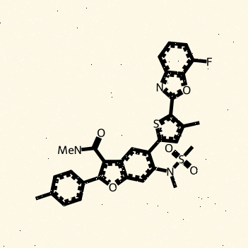 CNC(=O)c1c(-c2ccc(C)cc2)oc2cc(N(C)S(C)(=O)=O)c(-c3cc(C)c(-c4nc5cccc(F)c5o4)s3)cc12